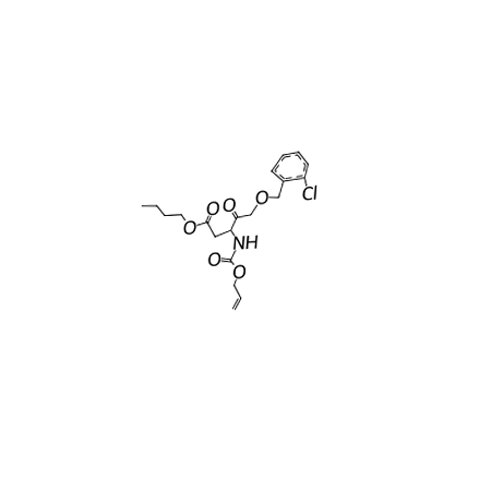 C=CCOC(=O)NC(CC(=O)OCCCC)C(=O)COCc1ccccc1Cl